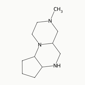 CN1CCN2C(CNC3CCCC32)C1